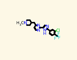 CN1CCC(Cc2ccnc(-c3cnc(-c4ccc(C(F)(F)F)c(Cl)c4)[nH]3)n2)CC1